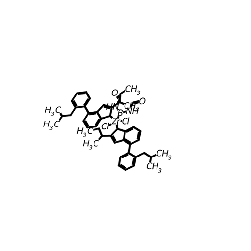 CCC(C)C1=Cc2c(-c3ccccc3CC(C)C)cccc2[CH]1[Zr]([Cl])([Cl])([B](NC=O)NC=O)[CH]1C(C(C)CC)=Cc2c(-c3ccccc3CC(C)C)cccc21